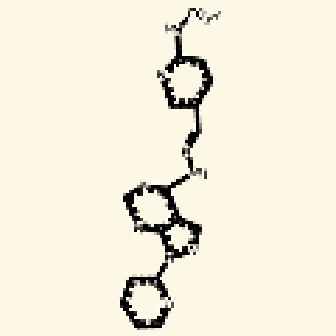 O=C(O)Nc1ccc(C=NNc2ncnc3c2cnn3-c2ccccn2)cn1